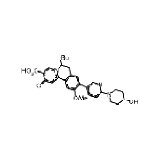 COc1cc2c(cc1-c1ccc(N3CCC(O)CC3)nc1)CC(C(C)(C)C)n1cc(C(=O)O)c(=O)cc1-2